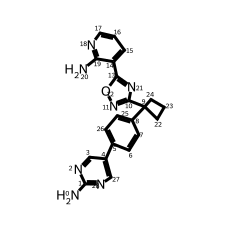 Nc1ncc(-c2ccc(C3(c4noc(-c5cccnc5N)n4)CCC3)cc2)cn1